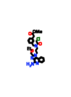 CCOCc1nc2c(N)nc3ccccc3c2n1CCCN(Cc1cccc(CC(=O)OC)c1)C(=O)CCl